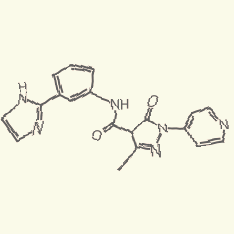 CC1=NN(c2ccncc2)C(=O)C1C(=O)Nc1cccc(-c2ncc[nH]2)c1